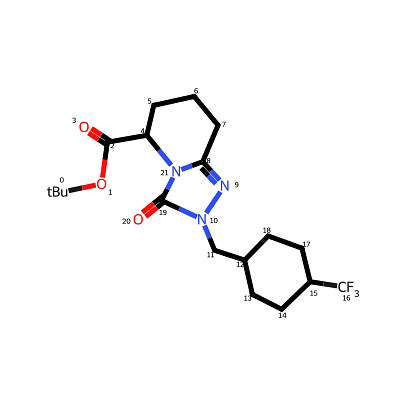 CC(C)(C)OC(=O)C1CCCc2nn(CC3CCC(C(F)(F)F)CC3)c(=O)n21